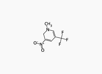 CN1C=C(C(F)(F)F)C=C([N+](=O)[O-])C1